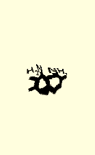 Cc1cc2ccc(C)c(N)c2c(N)c1C